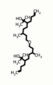 C=CCCC(CCC(C)CCOCCC(C)CCC(CCC=C)C(C)(C)O)C(C)(C)O